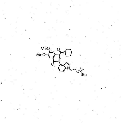 COc1cc2c(C(=O)N3CCCCC3)cn(-c3cccc4c3ccn4CCO[Si](C)(C)C(C)(C)C)c(=O)c2cc1OC